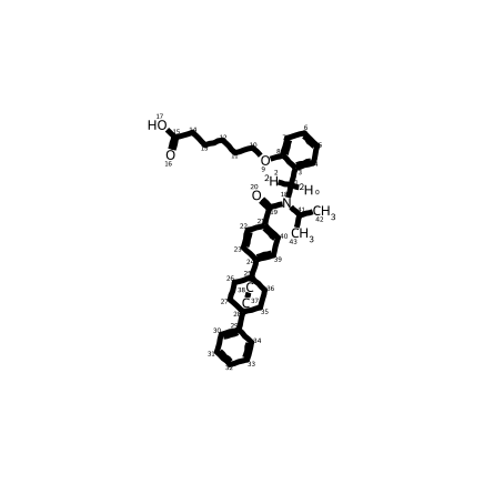 [2H]C([2H])(c1ccccc1OCCCCCC(=O)O)N(C(=O)c1ccc(C23CCC(c4ccccc4)(CC2)CC3)cc1)C(C)C